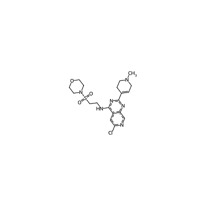 CN1CC=C(c2nc(NCCS(=O)(=O)N3CCOCC3)c3cc(Cl)ncc3n2)CC1